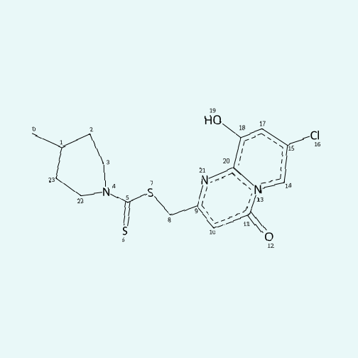 CC1CCN(C(=S)SCc2cc(=O)n3cc(Cl)cc(O)c3n2)CC1